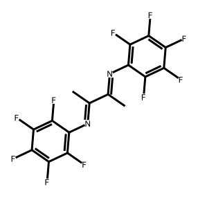 CC(=Nc1c(F)c(F)c(F)c(F)c1F)C(C)=Nc1c(F)c(F)c(F)c(F)c1F